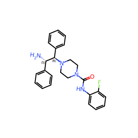 N[C@@H](c1ccccc1)[C@@H](c1ccccc1)N1CCN(C(=O)Nc2ccccc2F)CC1